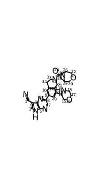 N#Cc1c[nH]c2ncc(-c3cc4c(c(C5COCCN5)c3)CN(C(=O)N3C5CCC3COC5)CC4)nc12